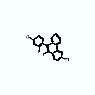 Clc1ccc(-c2c(I)c3ccc(Cl)cc3c3ccccc23)c(Br)c1